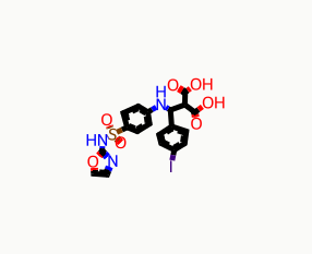 O=C(O)C(C(=O)O)C(Nc1ccc(S(=O)(=O)Nc2ncco2)cc1)c1ccc(I)cc1